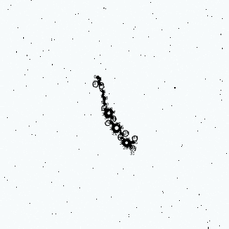 C=CC(=O)OCCCCCCOc1ccc(OC(=O)C2CCC(C(=O)Oc3ccc(OC)c(C=O)c3)CC2)cc1